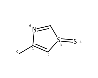 CC1=CS(=S)C=N1